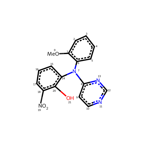 COc1ccccc1N(c1ccncn1)c1cccc([N+](=O)[O-])c1O